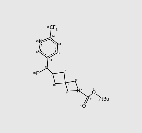 CC(C)(C)OC(=O)N1CC2(CC(C(F)c3ccc(C(F)(F)F)nc3)C2)C1